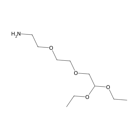 CCOC(COCCOCCN)OCC